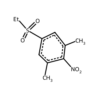 CCS(=O)(=O)c1cc(C)c([N+](=O)[O-])c(C)c1